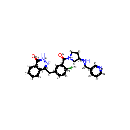 O=C(c1cc(Cc2n[nH]c(=O)c3ccccc23)ccc1F)N1CCC(NCc2cccnc2)C1